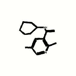 C=C(NC1CCCCC1)c1cc(C)cnc1C